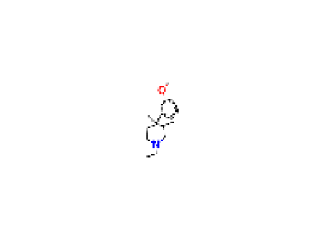 CCN1CCC(C)(c2cccc(OC)c2)C(C)C1